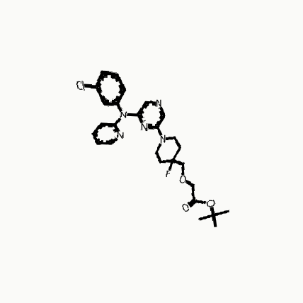 CC(C)(C)OC(=O)COCC1(F)CCN(c2cncc(N(c3cccc(Cl)c3)c3ccccn3)n2)CC1